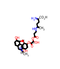 C=C(CC[C@H](N)C(=O)O)NCCC(=O)O[C@@H](O)C(=O)OC1=CC[C@@]2(O)[C@H]3Cc4ccc(O)c5c4[C@@]2(CCN3C)[C@H]1O5